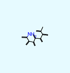 C=C(C)C(=C)C(=C)C(=C)C(=C)C(=C)C(=C)N